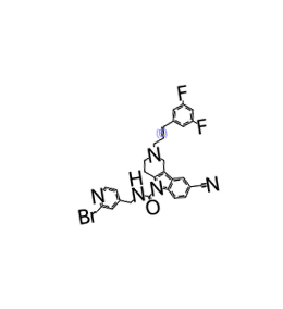 N#Cc1ccc2c(c1)c1c(n2C(=O)NCc2ccnc(Br)c2)CCN(C/C=C/c2cc(F)cc(F)c2)C1